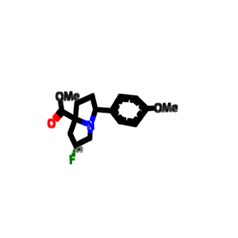 COC(=O)C12CCC(c3ccc(OC)cc3)N1C[C@H](F)C2